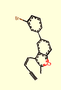 C#C/C=C\c1c(C)oc2ccc(-c3cccc(Br)c3)cc12